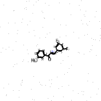 O=C(/C=C/c1cc(F)cc(F)c1)c1cccc(O)c1